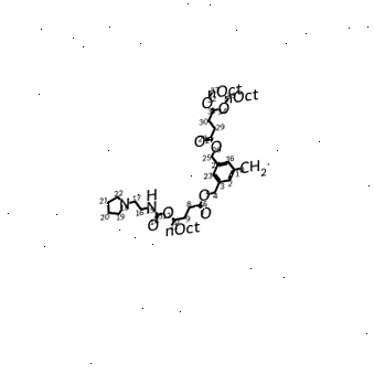 [CH2]c1cc(COC(=O)CCC(CCCCCCCC)OC(=O)NCCN2CCCC2)cc(COC(=O)CCC(OCCCCCCCC)OCCCCCCCC)c1